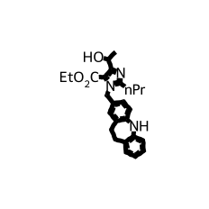 CCCc1nc(C(C)O)c(C(=O)OCC)n1Cc1ccc2c(c1)CCc1ccccc1N2